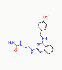 COc1ccc(CNc2nc(NCCNC(N)=O)nc3ccccc23)cc1